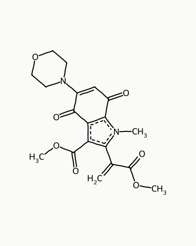 C=C(C(=O)OC)c1c(C(=O)OC)c2c(n1C)C(=O)C=C(N1CCOCC1)C2=O